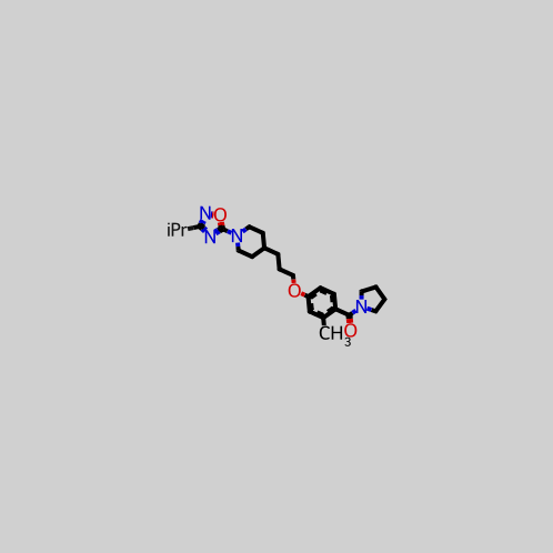 Cc1cc(OCCCC2CCN(c3nc(C(C)C)no3)CC2)ccc1C(=O)N1CCCC1